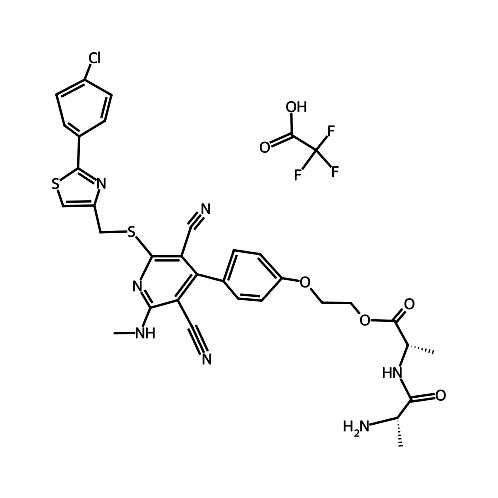 CNc1nc(SCc2csc(-c3ccc(Cl)cc3)n2)c(C#N)c(-c2ccc(OCCOC(=O)[C@H](C)NC(=O)[C@H](C)N)cc2)c1C#N.O=C(O)C(F)(F)F